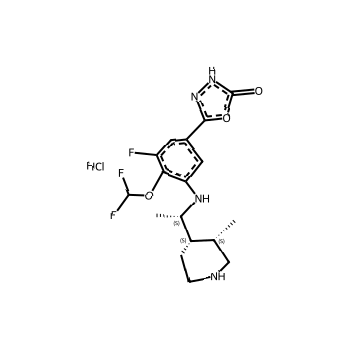 C[C@@H]1CNCC[C@@H]1[C@H](C)Nc1cc(-c2n[nH]c(=O)o2)cc(F)c1OC(F)F.Cl